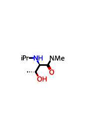 CNC(=O)[C@H](NC(C)C)[C@@H](C)O